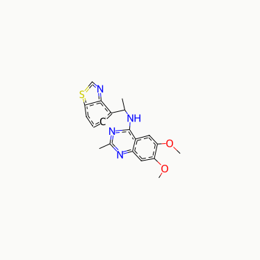 COc1cc2nc(C)nc(NC(C)c3cccc4scnc34)c2cc1OC